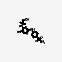 CC(C)(CO)Nc1nc(Nc2ccc(S(N)(=O)=O)cc2)ncc1Br